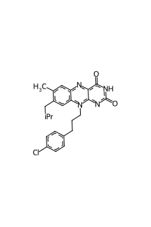 Cc1cc2nc3c(=O)[nH]c(=O)nc-3n(CCCc3ccc(Cl)cc3)c2cc1CC(C)C